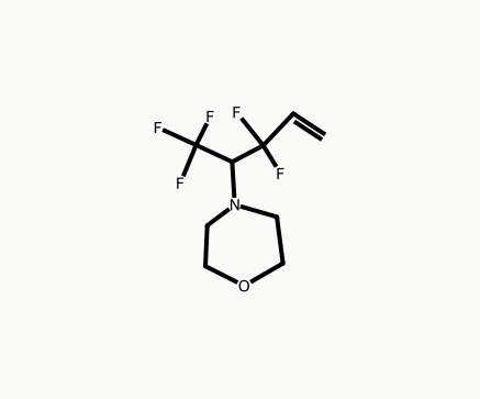 C=CC(F)(F)C(N1CCOCC1)C(F)(F)F